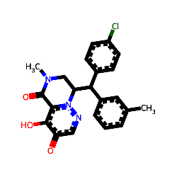 Cc1cccc(C(c2ccc(Cl)cc2)C2CN(C)C(=O)c3c(O)c(=O)cnn32)c1